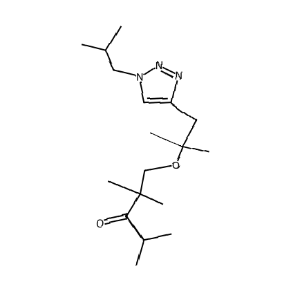 CC(C)Cn1cc(CC(C)(C)OCC(C)(C)C(=O)C(C)C)nn1